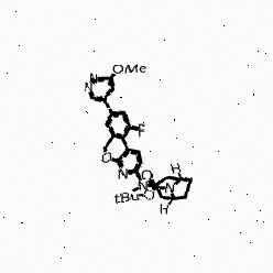 COc1cc(-c2cc(F)c3c(c2)COc2nc(N(C)C4C[C@H]5CC[C@@H](C4)N5C(=O)OC(C)(C)C)ccc2-3)cnn1